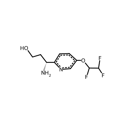 N[C@H](CCO)c1ccc(OC(F)C(F)F)cn1